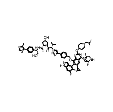 Cc1ncsc1-c1ccc([C@H](CO)NC(=O)[C@@H]2C[C@@H](O)CN2C(=O)[C@H](C(C)C)n2cc(-c3ccc(COc4c(-c5c(C)c(F)cc6[nH]ncc56)c(C5CC5)cc5c(N6C[C@@H]7C[C@H]6CN7)nc(OC6CCN(CC(F)F)CC6)nc45)cc3)nn2)cc1